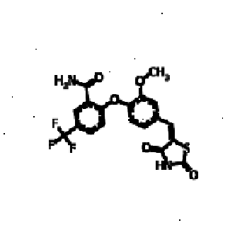 COc1cc(C=C2SC(=O)NC2=O)ccc1Oc1ccc(C(F)(F)F)cc1C(N)=O